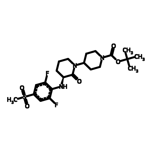 CC(C)(C)OC(=O)N1CCC(N2CCC[C@H](Nc3c(F)cc(S(C)(=O)=O)cc3F)C2=O)CC1